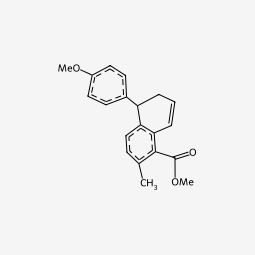 COC(=O)c1c(C)ccc2c1C=CCC2c1ccc(OC)cc1